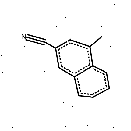 Cc1[c]c(C#N)cc2ccccc12